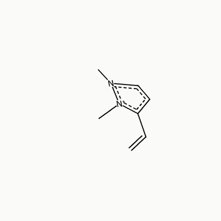 C=Cc1ccn(C)[n+]1C